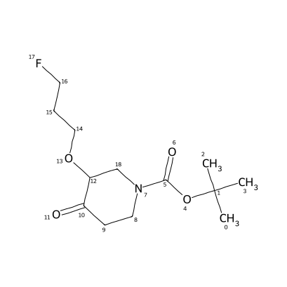 CC(C)(C)OC(=O)N1CCC(=O)C(OCCCF)C1